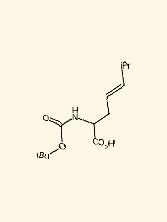 CC(C)C=CCC(NC(=O)OC(C)(C)C)C(=O)O